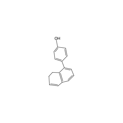 Oc1ccc(-c2cccc3c2CCC=C3)cc1